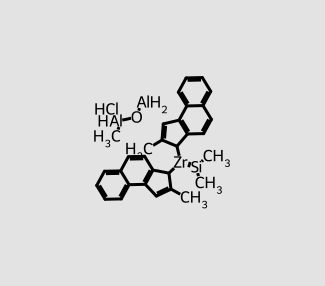 CC1=Cc2c(ccc3ccccc23)[CH]1[Zr]([CH]1C(C)=Cc2c1ccc1ccccc21)=[Si](C)C.Cl.[CH3][AlH][O][AlH2]